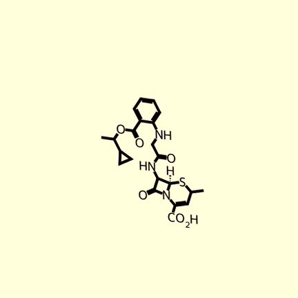 CC1C=C(C(=O)O)N2C(=O)C(NC(=O)CNc3ccccc3C(=O)OC(C)C3CC3)[C@H]2S1